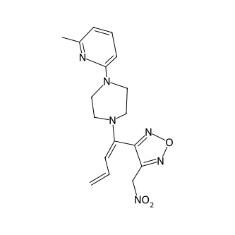 C=C/C=C(\c1nonc1C[N+](=O)[O-])N1CCN(c2cccc(C)n2)CC1